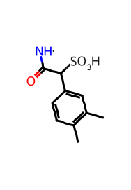 Cc1ccc(C(C([NH])=O)S(=O)(=O)O)cc1C